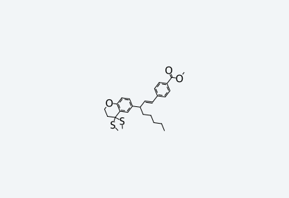 CCCCCC(C=Cc1ccc(C(=O)OC)cc1)c1ccc2c(c1)C(SC)(SC)CCO2